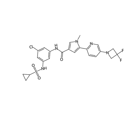 Cn1cc(C(=O)Nc2cc(Cl)cc(NS(=O)(=O)C3CC3)c2)cc1-c1ccc(N2CC(F)(F)C2)cn1